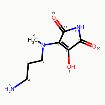 CN(CCCN)C1=C(O)C(=O)NC1=O